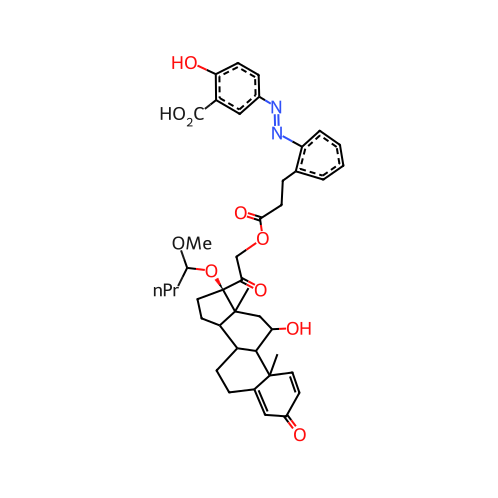 CCCC(OC)O[C@]1(C(=O)COC(=O)CCc2ccccc2/N=N/c2ccc(O)c(C(=O)O)c2)CCC2C3CCC4=CC(=O)C=CC4(C)C3C(O)CC21C